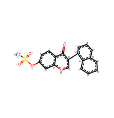 CS(=O)(=O)Oc1ccc2c(=O)c(-c3cccc4ccccc34)coc2c1